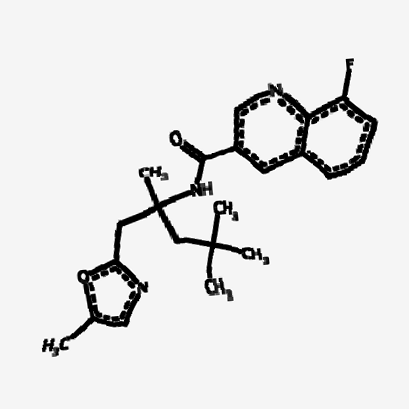 Cc1cnc(CC(C)(CC(C)(C)C)NC(=O)c2cnc3c(F)cccc3c2)o1